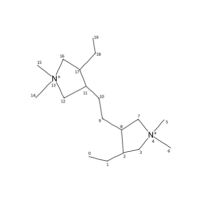 CCC1C[N+](C)(C)CC1CCC1C[N+](C)(C)CC1CC